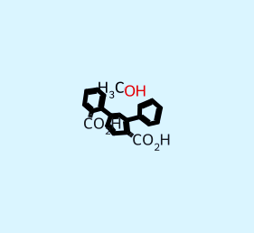 CO.O=C(O)c1ccccc1-c1ccc(C(=O)O)c(-c2ccccc2)c1